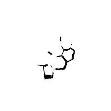 COc1c(Br)ccc(Cn2ccc(C)n2)c1OC